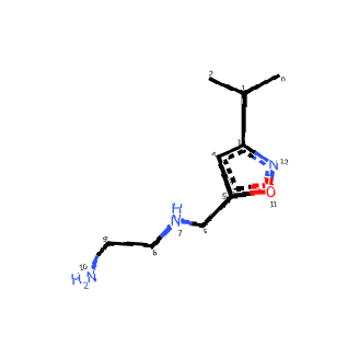 CC(C)c1cc(CNCCN)on1